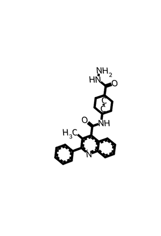 Cc1c(-c2ccccc2)nc2ccccc2c1C(=O)NC12CCC(C(=O)NN)(CC1)CC2